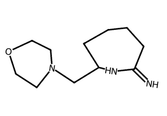 N=C1CCCCC(CN2CCOCC2)N1